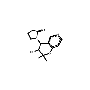 CC1(C)Oc2ccncc2C(N2CCCC2=O)C1O